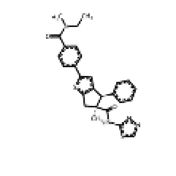 CCN(C)C(=O)c1ccc(-c2cc3c(s2)C[C@](C)(C(=O)Nc2nncs2)[C@@H]3c2ccccc2)cc1